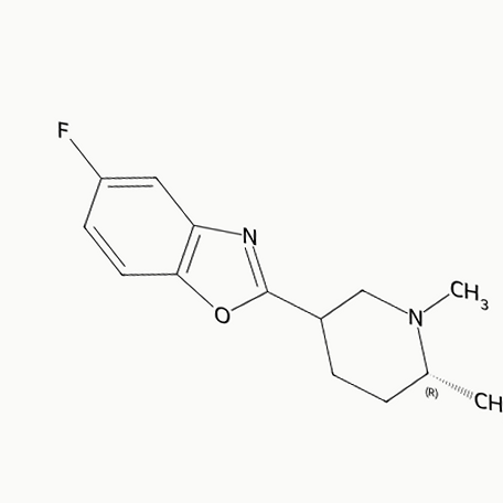 C[C@@H]1CCC(c2nc3cc(F)ccc3o2)CN1C